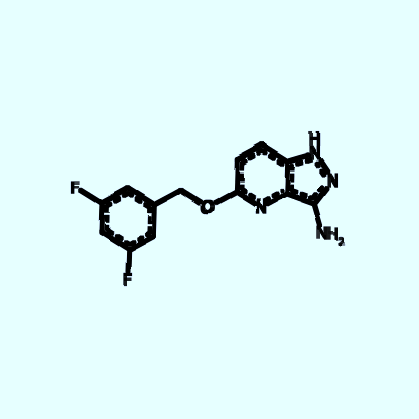 Nc1n[nH]c2ccc(OCc3cc(F)cc(F)c3)nc12